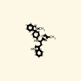 Cc1csc(C(Cc2c[nH]c3ccccc23)NC2CCC(c3ccccc3)(N(C)C)CC2)n1